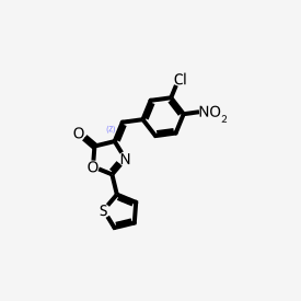 O=C1OC(c2cccs2)=N/C1=C\c1ccc([N+](=O)[O-])c(Cl)c1